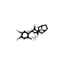 NC(=O)C(=O)N1C2CCC1CC([C@H](N)Cc1cc(F)c(F)cc1F)C2